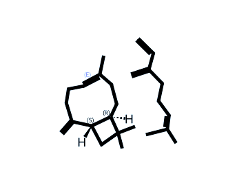 C=C1CC/C=C(\C)CC[C@@H]2[C@@H]1CC2(C)C.C=CC(=C)CCC=C(C)C